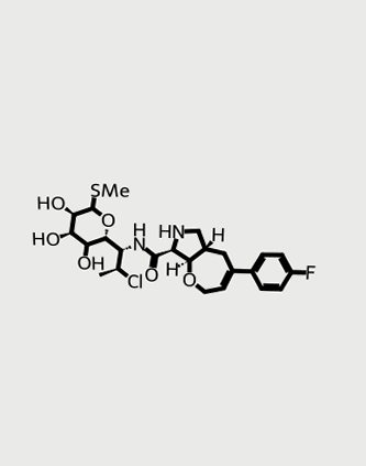 CSC1O[C@H]([C@H](NC(=O)[C@H]2NC[C@@H]3CC(c4ccc(F)cc4)=CCO[C@H]32)[C@H](C)Cl)C(O)[C@@H](O)[C@H]1O